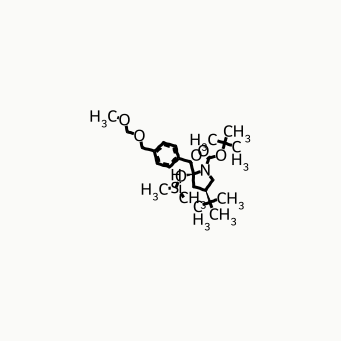 COCOCc1ccc(C(=O)[C@@]2(O[SiH](C)C)C[C@H](C(C)(C)C)CN2C(=O)OC(C)(C)C)cc1